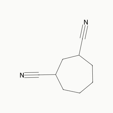 N#CC1CCCCC(C#N)C1